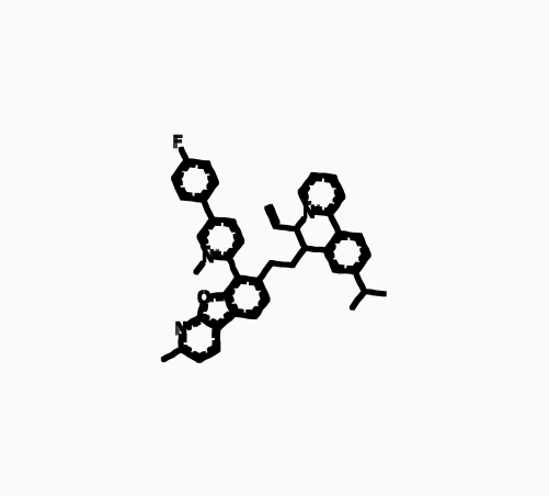 C=CC1C(CCc2ccc3c(oc4nc(C)ccc43)c2-c2ccc(-c3ccc(F)cc3)c[n+]2C)c2cc(C(C)C)ccc2-c2cccc[n+]21